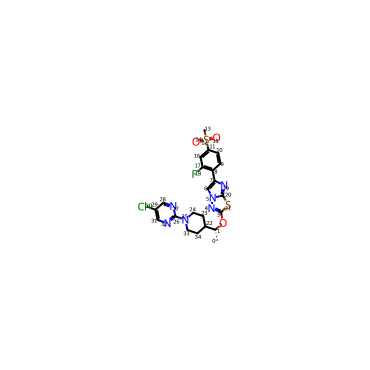 C[C@@H](Oc1nn2cc(-c3ccc(S(C)(=O)=O)cc3F)nc2s1)C1CCN(c2ncc(Cl)cn2)CC1